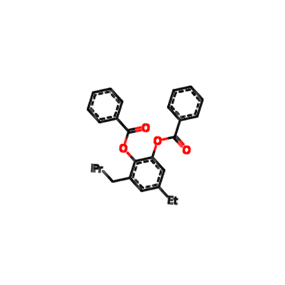 CCc1cc(CC(C)C)c(OC(=O)c2ccccc2)c(OC(=O)c2ccccc2)c1